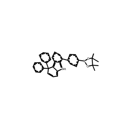 CC1(C)OB(c2ccc(-c3cccc4c3=[SiH]C3=CC=CC(c5ccccc5)(c5ccccc5)C=43)cc2)OC1(C)C